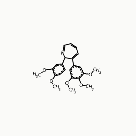 COc1ccc(C2N=CC=CC=C2c2cc(OC)c(OC)c(OC)c2)cc1OC